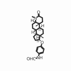 CN1C(=O)CC[C@]2(C)[C@H]3CC[C@]4(C)[C@@H](Oc5ccc(NC=O)cc5)CC[C@H]4[C@@H]3CC[C@@H]12